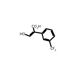 O=C(O)C(=CO)c1cccc(C(F)(F)F)c1